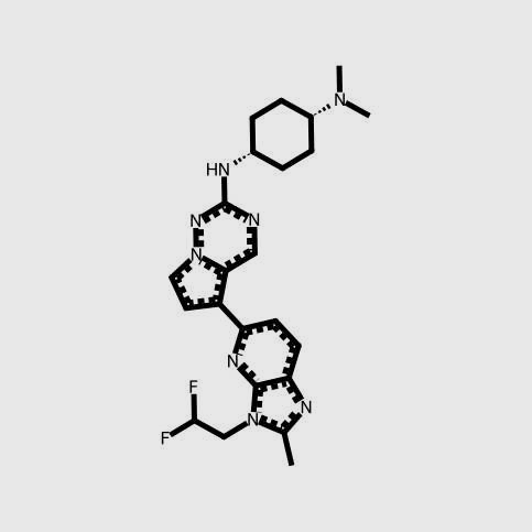 Cc1nc2ccc(-c3ccn4nc(N[C@H]5CC[C@@H](N(C)C)CC5)ncc34)nc2n1CC(F)F